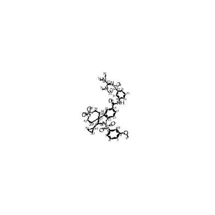 COc1cccc(S(=O)(=O)N2c3ccc(C(=O)Nc4cccc(S(=O)(=O)N=C(N(C)C)N(C)C)c4)cc3C3(CCS(=O)(=O)CC3)C2C2CC2)c1